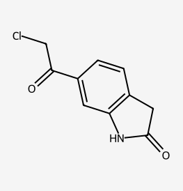 O=C1Cc2ccc(C(=O)CCl)cc2N1